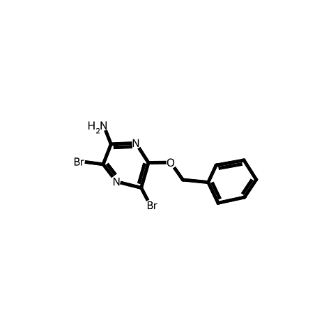 Nc1nc(OCc2ccccc2)c(Br)nc1Br